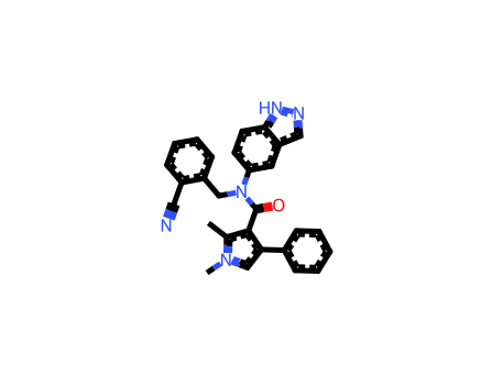 Cc1c(C(=O)N(Cc2ccccc2C#N)c2ccc3[nH]ncc3c2)c(-c2ccccc2)cn1C